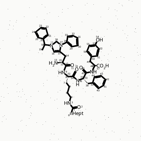 CCCCCCCC(=O)NCCCC[C@H](NC(=O)[C@@H](N)CC1=CN(C(C)c2ccccc2)CN1c1ccccc1)C(=O)N[C@@H](Cc1ccccc1)C(=O)N[C@@H](Cc1ccc(O)cc1)C(=O)O